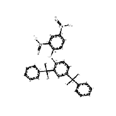 CC(C)(c1ccccc1)c1ccc(Oc2ccc([N+](=O)[O-])cc2[N+](=O)[O-])c(C(C)(C)c2ccccc2)c1